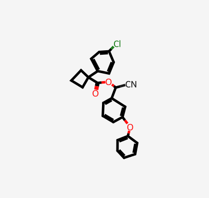 N#CC(OC(=O)C1(c2ccc(Cl)cc2)CCC1)c1cccc(Oc2ccccc2)c1